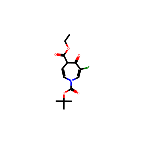 CCOC(=O)C1C=CN(C(=O)OC(C)(C)C)C=C(F)C1=O